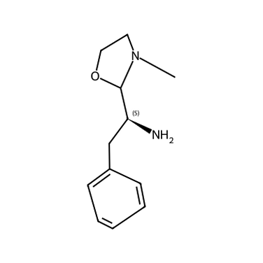 CN1CCOC1[C@@H](N)Cc1ccccc1